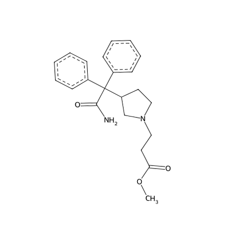 COC(=O)CCN1CCC(C(C(N)=O)(c2ccccc2)c2ccccc2)C1